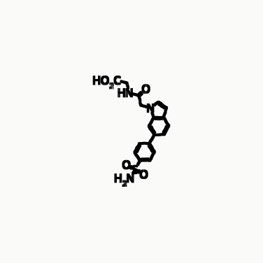 NS(=O)(=O)c1ccc(-c2ccc3ccn(CC(=O)NCC(=O)O)c3c2)cc1